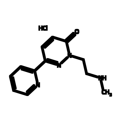 CNCCn1nc(-c2ccccn2)ccc1=O.Cl